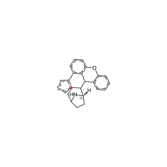 c1ccc2c(c1)Oc1cccc(-c3ccsc3)c1C2C1CCC2CC[C@@H]1N2